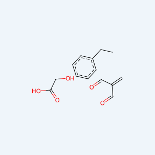 C=C(C=O)C=O.CCc1ccccc1.O=C(O)CO